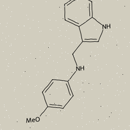 COc1ccc(NCc2c[nH]c3ccccc23)cc1